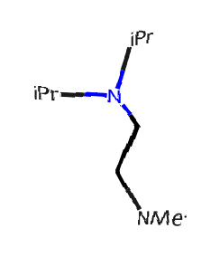 C[N]CCN(C(C)C)C(C)C